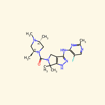 Cc1ncc(F)c(Nc2n[nH]c3c2CN(C(=O)N2C[C@@H](C)N(C)C[C@@H]2C)C3(C)C)n1